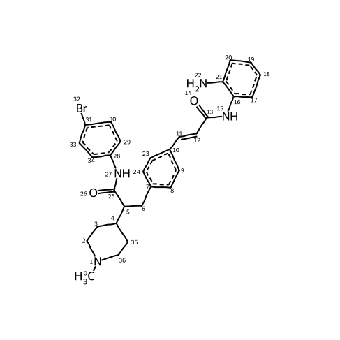 CN1CCC(C(Cc2ccc(/C=C/C(=O)Nc3ccccc3N)cc2)C(=O)Nc2ccc(Br)cc2)CC1